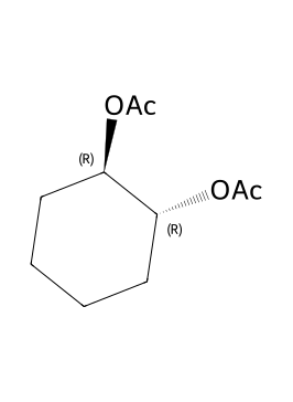 CC(=O)O[C@@H]1CCCC[C@H]1OC(C)=O